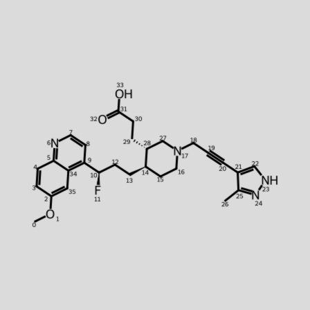 COc1ccc2nccc([C@H](F)CC[C@@H]3CCN(CC#Cc4c[nH]nc4C)C[C@H]3CCC(=O)O)c2c1